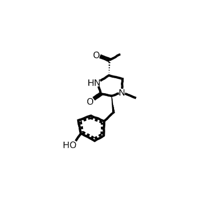 CC(=O)[C@@H]1CN(C)[C@@H](Cc2ccc(O)cc2)C(=O)N1